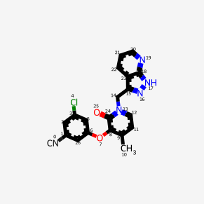 [C-]#[N+]c1cc(Cl)cc(Oc2c(C)ccn(Cc3n[nH]c4ncccc34)c2=O)c1